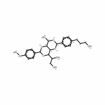 CCCOc1ccc(C2OC(C(O)CO)C3OC(c4ccc(CCCO)cc4)OC(CCC)C3O2)cc1